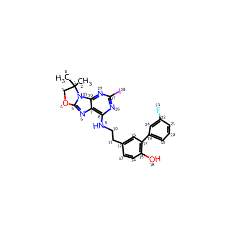 CC1(C)COc2nc3c(NCCc4ccc(O)c(-c5cccc(F)c5)c4)nc(I)nc3n21